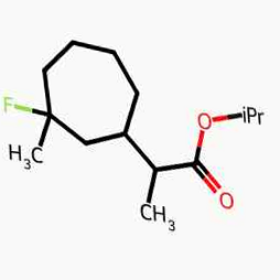 CC(C)OC(=O)C(C)C1CCCCC(C)(F)C1